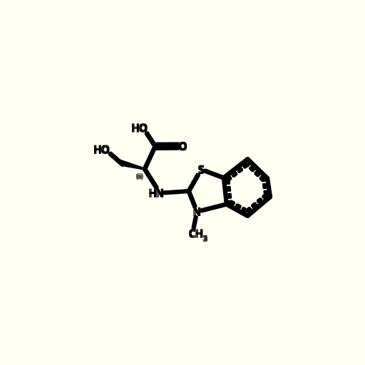 CN1c2ccccc2SC1N[C@@H](CO)C(=O)O